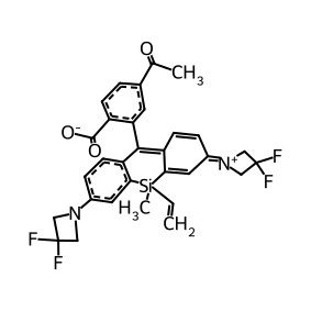 C=C[Si]1(C)C2=CC(=[N+]3CC(F)(F)C3)C=CC2=C(c2cc(C(C)=O)ccc2C(=O)[O-])c2ccc(N3CC(F)(F)C3)cc21